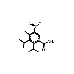 Cc1c([N+](=O)[O-])cc(C(N)=O)c(C(C)C)c1C(C)C